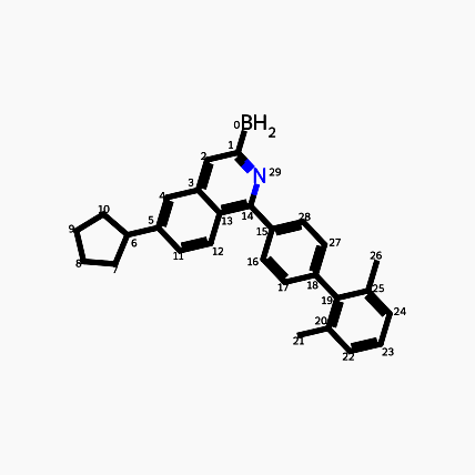 Bc1cc2cc(C3CCCC3)ccc2c(-c2ccc(-c3c(C)cccc3C)cc2)n1